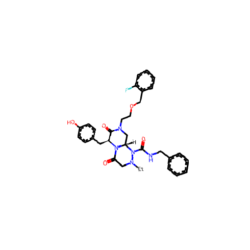 CCN1CC(=O)N2[C@@H](Cc3ccc(O)cc3)C(=O)N(CCOCc3ccccc3F)C[C@@H]2N1C(=O)NCc1ccccc1